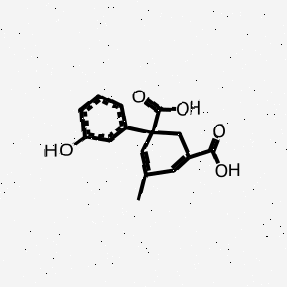 CC1=CC(C(=O)O)(c2cccc(O)c2)CC(C(=O)O)=C1